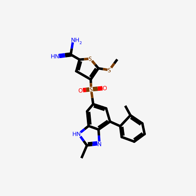 CSc1sc(C(=N)N)cc1S(=O)(=O)c1cc(-c2ccccc2C)c2nc(C)[nH]c2c1